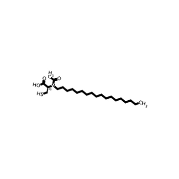 CCCCCCCCCCCCCCCCCCN(C(C)=O)[C@@H](CS)C(=O)O